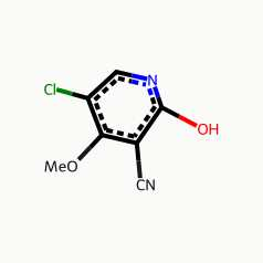 COc1c(Cl)cnc(O)c1C#N